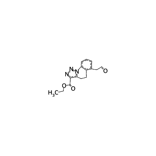 CCOC(=O)c1nnn2c1CCc1c(CC=O)cccc1-2